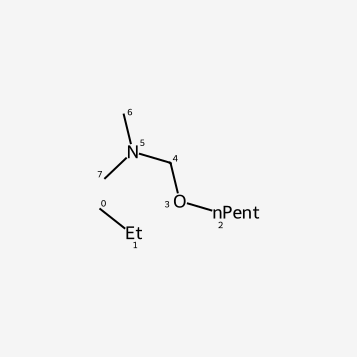 CCC.CCCCCOCN(C)C